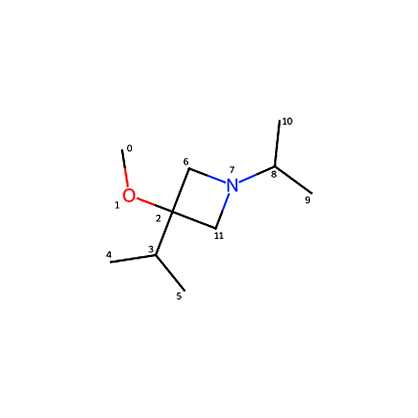 COC1(C(C)C)CN(C(C)C)C1